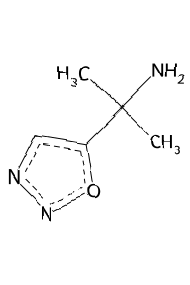 CC(C)(N)c1cnno1